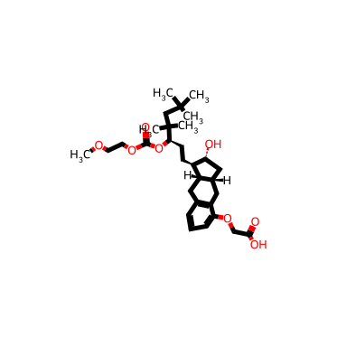 COCCOC(=O)O[C@H](CC[C@@H]1[C@H]2Cc3cccc(OCC(=O)O)c3C[C@H]2C[C@H]1O)C(C)(C)CC(C)(C)C